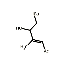 CCC(C)CC(O)C(C)=CC(C)=O